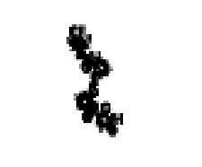 O=C1CCC(N2Cc3c(OCCCN4CCCCC4C(=O)NCc4ccc(C(F)(F)F)cc4)cccc3C2=O)C(=O)N1